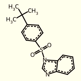 CC(C)(C)c1ccc(S(=O)(=O)n2cnc3ccccc32)cc1